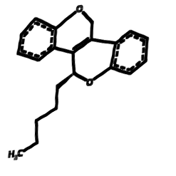 CCCCC[C@@H]1Oc2ccccc2C2=C1c1ccccc1OC2